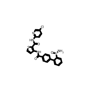 N[S+]([O-])c1ccccc1-c1ccc(C(=O)Nc2ccsc2C(=O)Nc2ccc(Cl)cn2)cc1